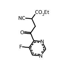 CCOC(=O)C(C#N)CC(=O)c1ncncc1F